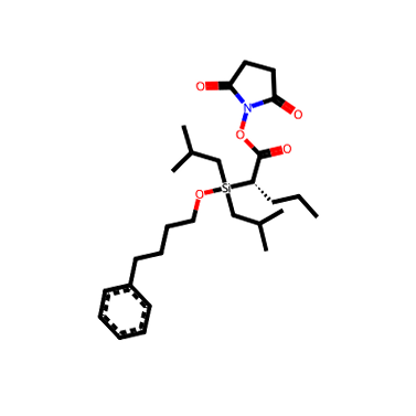 CCC[C@@H](C(=O)ON1C(=O)CCC1=O)[Si](CC(C)C)(CC(C)C)OCCCCc1ccccc1